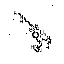 CC(C)CNCCCCNS(=O)(=O)c1ccc(CN(Cc2ncc[nH]2)C(C)c2ncc[nH]2)cc1